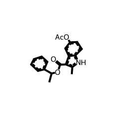 CC(=O)Oc1ccc2[nH]c(C)c(C(=O)OC(C)c3ccccc3)c2c1